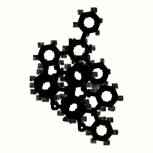 c1ccc(-c2nc(-c3ccccc3)nc(-c3cccc4c5ccccc5n(-c5ccccc5B5c6ccccc6Oc6cc7c(cc65)B(c5ccccc5-n5c6ccccc6c6ccccc65)c5ccccc5O7)c34)n2)cc1